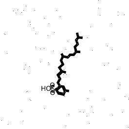 C/C(=C\CCc1cc(C)ccc1S(=O)(=O)O)CCCC(C)CCCC(C)CCCC(C)C